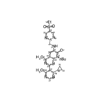 CCC(C)n1c(=O)c(NCc2ncc(S(=O)(=O)CC)cn2)nc2c(C)nc(-c3c(C)ncnc3C3CC3)nc21